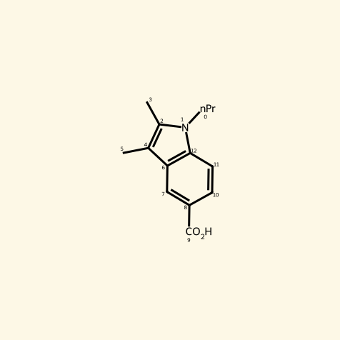 CCCn1c(C)c(C)c2cc(C(=O)O)ccc21